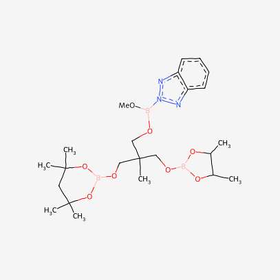 COB(OCC(C)(COB1OC(C)C(C)O1)COB1OC(C)(C)CC(C)(C)O1)n1nc2ccccc2n1